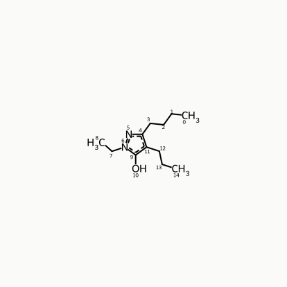 CCCCc1nn(CC)c(O)c1CCC